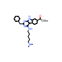 COC(=O)c1ccc2c(c1)[nH]c1nc(Cc3ccccc3)nc(NCCCCCN(C)C)c12